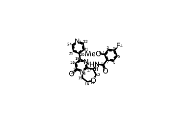 COc1cc(F)ccc1C(=O)NC1COCCn2c1nc(-c1ccncc1)cc2=O